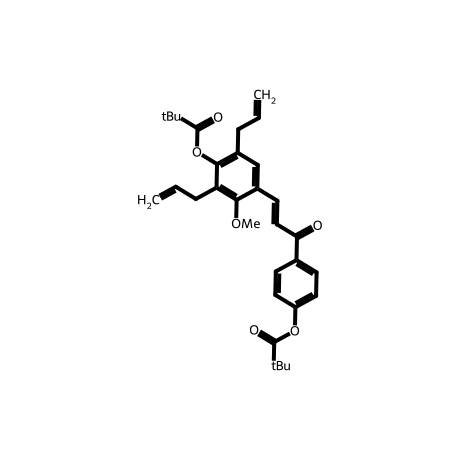 C=CCc1cc(C=CC(=O)c2ccc(OC(=O)C(C)(C)C)cc2)c(OC)c(CC=C)c1OC(=O)C(C)(C)C